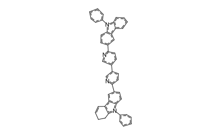 C1=Cc2c(n(-c3ccccc3)c3ccc(-c4ccc(-c5ccc(-c6ccc7c(c6)c6ccccc6n7-c6ccccc6)nc5)cn4)cc23)CC1